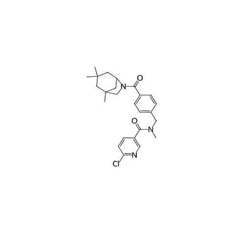 CN(Cc1ccc(C(=O)N2CC3(C)CC2CC(C)(C)C3)cc1)C(=O)c1ccc(Cl)nc1